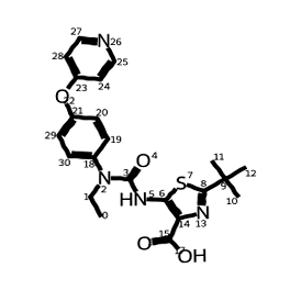 CCN(C(=O)Nc1sc(C(C)(C)C)nc1C(=O)O)c1ccc(Oc2ccncc2)cc1